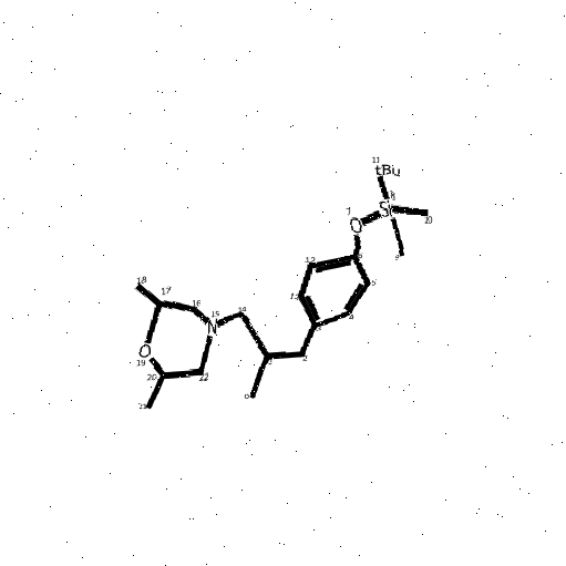 CC(Cc1ccc(O[Si](C)(C)C(C)(C)C)cc1)CN1CC(C)OC(C)C1